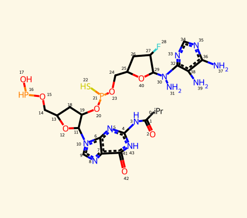 CC(C)C(=O)Nc1nc2c(ncn2C2OC(COPO)CC2OP(S)OCC2CC(F)C(N(N)c3ncnc(N)c3N)O2)c(=O)[nH]1